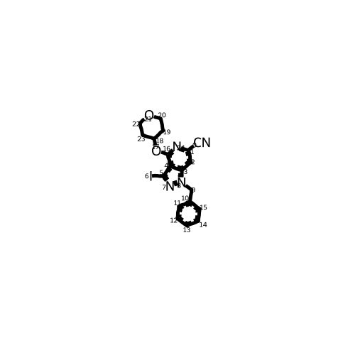 N#Cc1cc2c(c(I)nn2Cc2ccccc2)c(OC2CCOCC2)n1